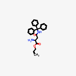 C=CCOC(=O)C(N)CC(=O)NC(c1ccccc1)(c1ccccc1)c1ccccc1